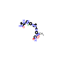 Cn1c(=O)n(C2CCC(=O)NC2=O)c2ccc(N3CC(CN4CCN(c5ccc(-c6nccc(-c7cc8c([nH]7)C7(CC7)CNC8=O)n6)c(F)c5)CC45CC5)C3)cc21